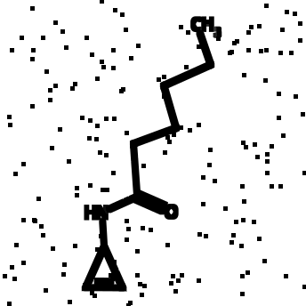 CCCCCC(=O)NC1C=C1